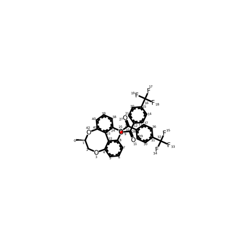 C[C@@H]1COc2cccc(OC(=O)c3ccc(C(F)(F)F)cc3)c2-c2c(OC(=O)c3ccc(C(F)(F)F)cc3)cccc2O1